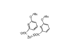 CCCCOc1cccc(C(=O)[O-])n1.CCCCOc1cccc(C(=O)[O-])n1.[Zn+2]